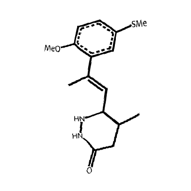 COc1ccc(SC)cc1/C(C)=C/C1NNC(=O)CC1C